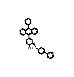 N=C1C=CC(c2c3ccccc3c(-c3ccccc3)c3ccccc23)=C/C1=N/Nc1ccc(-c2cccnc2)cc1